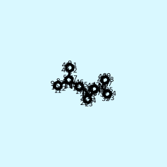 c1ccc(-c2cc(-c3ccccc3)nc(-c3ccc(-n4c5ccccc5c5cc(N(c6ccccc6)c6ccccc6)ccc54)cc3)c2)cc1